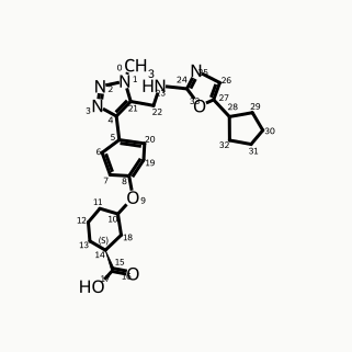 Cn1nnc(-c2ccc(OC3CCC[C@H](C(=O)O)C3)cc2)c1CNc1ncc(C2CCCC2)o1